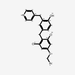 CC(=O)COc1cc(Cl)c(Cc2ccc(O)c(Cc3ccncc3)c2)c(Cl)c1